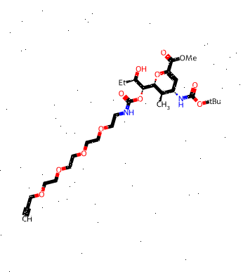 C#CCOCCOCCOCCOCCNC(=O)O[C@@H]([C@@H]1OC(C(=O)OC)=C[C@H](NC(=O)OC(C)(C)C)[C@H]1C)[C@H](O)CC